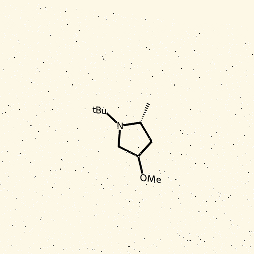 COC1C[C@@H](C)N(C(C)(C)C)C1